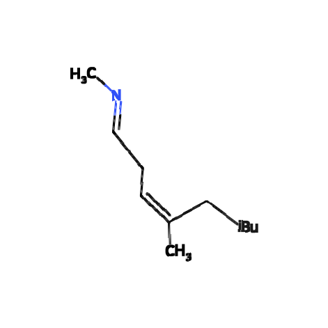 CCC(C)C/C(C)=C\C/C=N/C